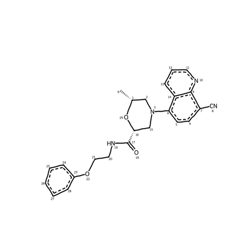 C[C@@H]1CN(c2ccc(C#N)c3ncccc23)C[C@H](C(=O)NCCOc2ccccc2)O1